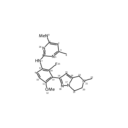 CNc1cc(C)nc(Nc2ccc(OC)c(-c3cc4n(n3)CCN(C)C4)c2F)n1